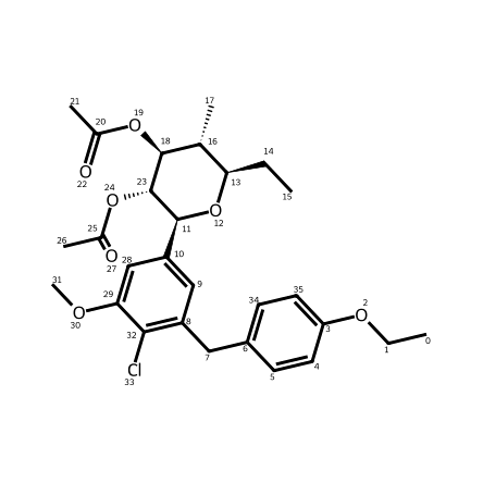 CCOc1ccc(Cc2cc([C@@H]3O[C@H](CC)[C@@H](C)[C@H](OC(C)=O)[C@H]3OC(C)=O)cc(OC)c2Cl)cc1